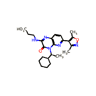 Cc1noc(C)c1-c1ccc2nc(NCCC(=O)O)c(=O)n([C@@H](C)C3CCCCC3)c2n1